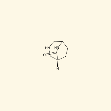 O=C1NC2CC[C@@H]1CNC2